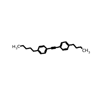 CCCCCc1ccc(C#Cc2ccc(CCCC)cc2)cc1